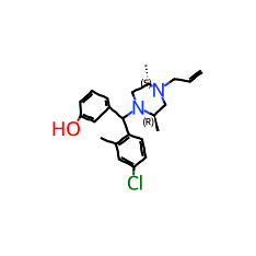 C=CCN1C[C@@H](C)N(C(c2cccc(O)c2)c2ccc(Cl)cc2C)C[C@@H]1C